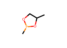 CC1COP(C)O1